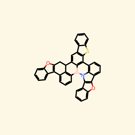 c1cc2c3c(c1)-c1c(oc4ccccc14)CC3c1cc3c(sc4ccccc43)c3c1B2n1c2c-3cccc2c2oc3ccccc3c21